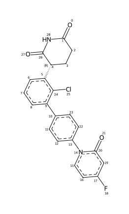 O=C1CC[C@H](c2cccc(-c3ccc(-n4ccc(F)cc4=O)cc3)c2Cl)C(=O)N1